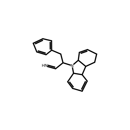 N=CC(Cc1ccccc1)N1C2C=CC=CC2C2CCC=CC21